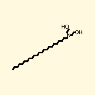 CCCCCCCCCCCCCCCCCCCCCC=CN(CCO)CCO